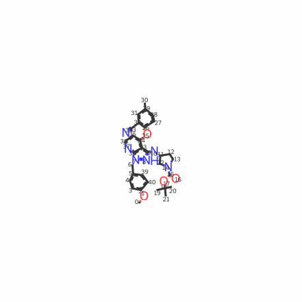 COc1ccc(Cn2nc(N[C@@H]3CCN(C(=O)OC(C)(C)C)C3)c3c(Oc4ccc(C)cc4C#N)ccnc32)cc1